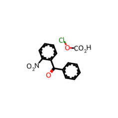 O=C(O)OCl.O=C(c1ccccc1)c1ccccc1[N+](=O)[O-]